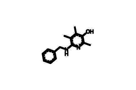 Cc1nc(NCc2ccccc2)c(C)c(C)c1O